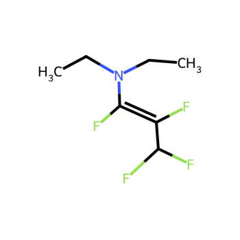 CCN(CC)C(F)=C(F)C(F)F